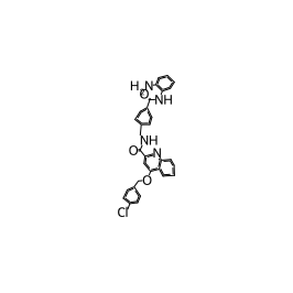 Nc1ccccc1NC(=O)c1ccc(CNC(=O)c2cc(OCc3ccc(Cl)cc3)c3ccccc3n2)cc1